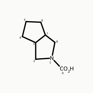 O=C(O)N1CC2CCCC2C1